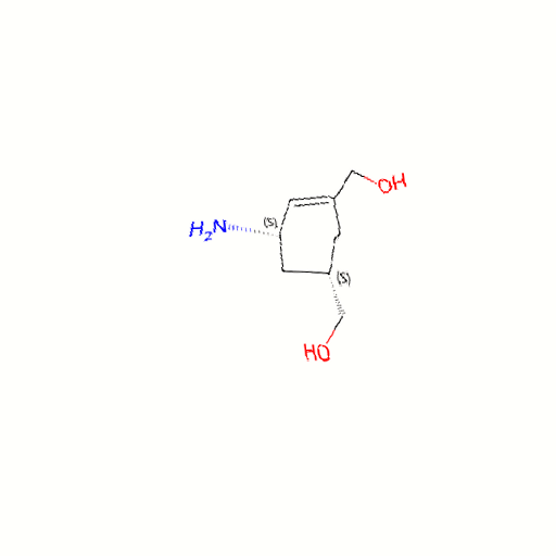 N[C@@H]1C=C(CO)C[C@H](CO)C1